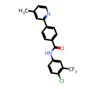 Cc1ccnc(-c2ccc(C(=O)Nc3ccc(Cl)c(C(F)(F)F)c3)cc2)c1